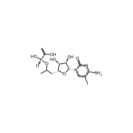 C=C(O)P(=O)(O)OC(C)C[C@H]1O[C@@H](n2cc(I)c(N)nc2=O)[C@H](O)[C@@H]1O